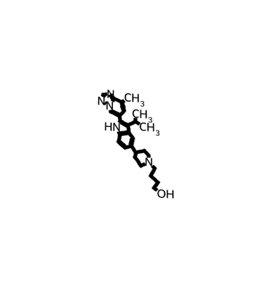 Cc1cc(-c2[nH]c3ccc(C4CCN(CCCCO)CC4)cc3c2C(C)C)cn2ncnc12